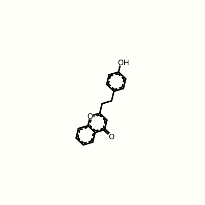 O=c1cc(CCc2ccc(O)cc2)oc2ccccc12